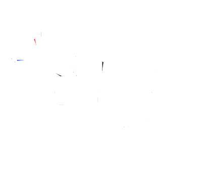 CCOc1cc(-c2c(F)cccc2[C@@](O)(CCCCOC)[C@@H]2CCCN(C(=O)[C@H]3C[C@@H](N)[C@@H](O)C3)C2)cc(C(F)(F)F)c1